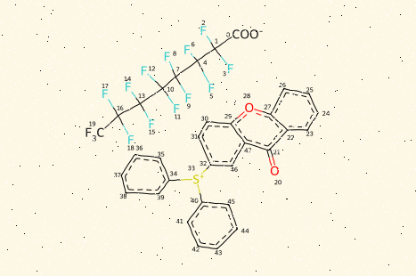 O=C([O-])C(F)(F)C(F)(F)C(F)(F)C(F)(F)C(F)(F)C(F)(F)C(F)(F)F.O=c1c2ccccc2oc2ccc([S+](c3ccccc3)c3ccccc3)cc12